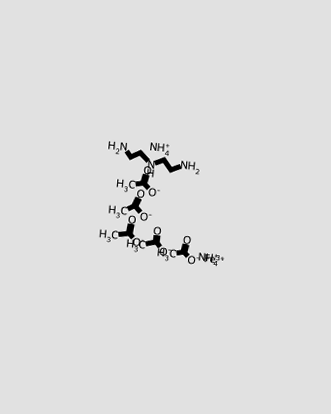 CC(=O)[O-].CC(=O)[O-].CC(=O)[O-].CC(=O)[O-].CC(=O)[O-].NCCNCCN.[Fe+3].[NH4+].[NH4+]